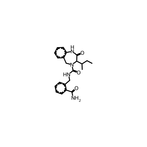 CCC(C)C1C(=O)Nc2ccccc2CN1C(=O)NCc1ccccc1C(N)=O